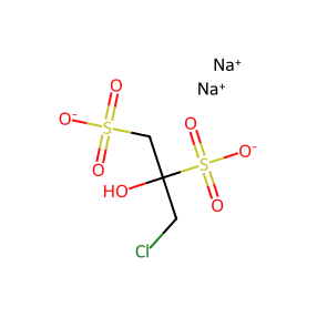 O=S(=O)([O-])CC(O)(CCl)S(=O)(=O)[O-].[Na+].[Na+]